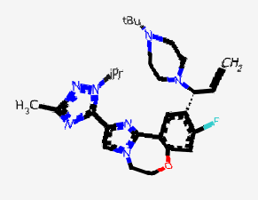 C=C[C@H](c1cc2c(cc1F)OCCn1cc(-c3nc(C)nn3C(C)C)nc1-2)N1CCN(C(C)(C)C)CC1